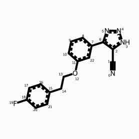 N#Cc1[nH]nnc1-c1cccc(OCCc2ccc(F)cc2)c1